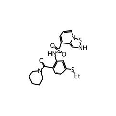 CCSc1ccc(C(=O)N2CCCCC2)c(NS(=O)(=O)C2=CC=CN3SNC=C23)c1